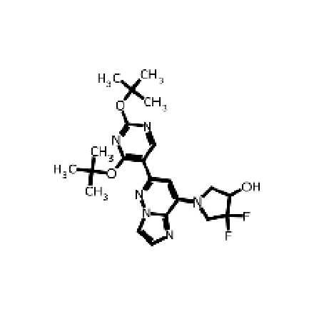 CC(C)(C)Oc1ncc(-c2cc(N3CC(O)C(F)(F)C3)c3nccn3n2)c(OC(C)(C)C)n1